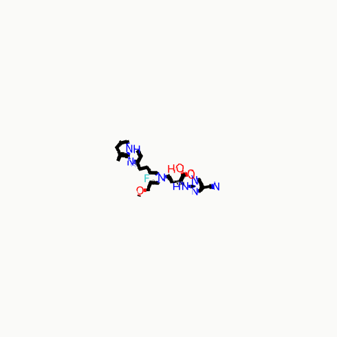 C=C/C(CCCCN(CC[C@H](Nc1ncc(C#N)cn1)C(=O)O)C[C@H](F)COC)=N\C1=C(C)CCCN1